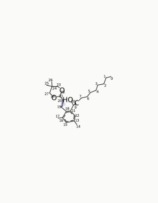 CCCCCCCCCC(O)c1cc(C)cc(C)c1/C=C/C1OCC(C)(C)CO1